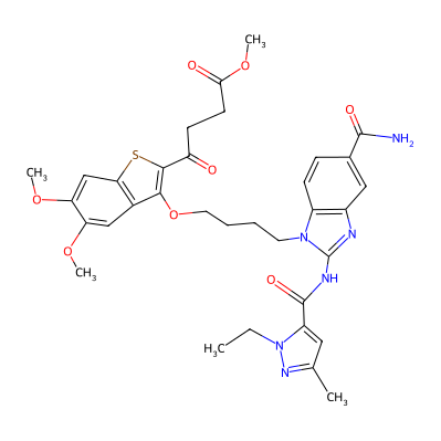 CCn1nc(C)cc1C(=O)Nc1nc2cc(C(N)=O)ccc2n1CCCCOc1c(C(=O)CCC(=O)OC)sc2cc(OC)c(OC)cc12